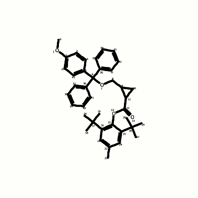 COc1ccc(C(OCC2CC2C(=O)Oc2c(C(C)(C)C)cc(C)cc2C(C)(C)C)(c2ccccc2)c2ccccc2)cc1